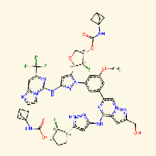 COc1cc(-c2cn3nc(CO)cc3c(Nc3cc([C@@H]4CC[C@H](OC(=O)NC56CC(C5)C6)[C@H]4F)[nH]n3)n2)cc(-n2nc(Nc3nc(C(F)(F)F)cc4nccn34)cc2[C@@H]2OC[C@H](OC(=O)NC34CC(C3)C4)[C@H]2F)c1